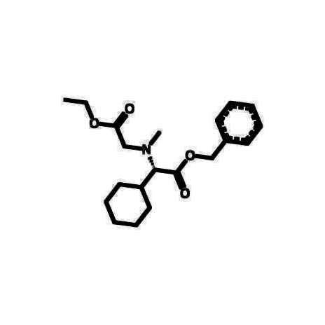 CCOC(=O)CN(C)[C@H](C(=O)OCc1ccccc1)C1CCCCC1